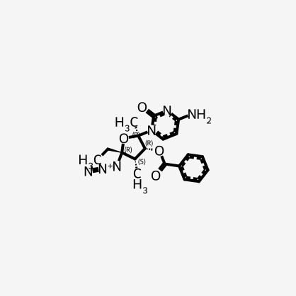 CC[C@@]1(N=[N+]=[N-])O[C@@](C)(n2ccc(N)nc2=O)[C@H](OC(=O)c2ccccc2)[C@@H]1C